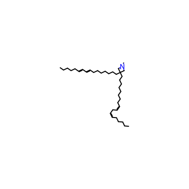 CCCCC/C=C\C/C=C\CCCCCCCCC1(CCCCCCC/C=C/C=C/CCCCC)CN(C)C1